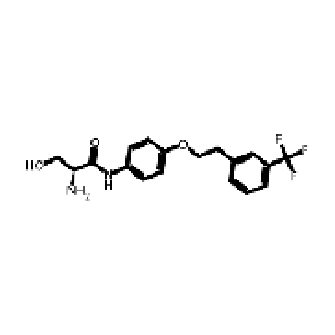 N[C@@H](CO)C(=O)Nc1ccc(OCCc2cccc(C(F)(F)F)c2)cc1